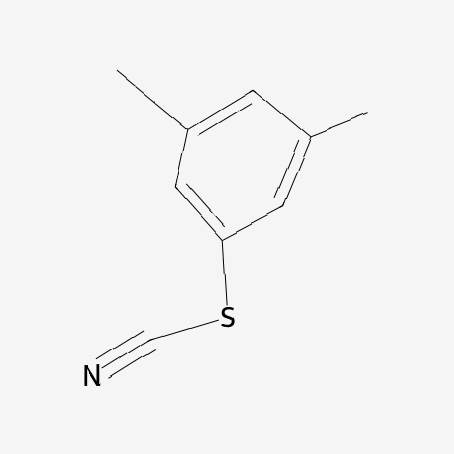 Cc1cc(C)cc(SC#N)c1